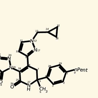 CCCCCc1ccc(C2(C)CC(c3ccn(CC4CC4)n3)=C(N3N=NCC3=O)C(=O)N2)cc1